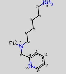 CCN(CCCCCCN)Cc1ccccn1